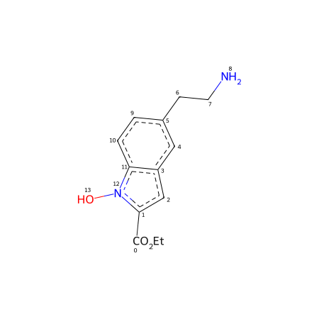 CCOC(=O)c1cc2cc(CCN)ccc2n1O